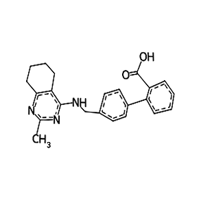 Cc1nc2c(c(NCc3ccc(-c4ccccc4C(=O)O)cc3)n1)CCCC2